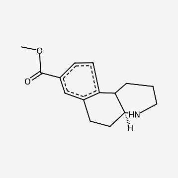 COC(=O)c1ccc2c(c1)CC[C@@H]1NCCCC21